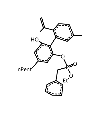 C=C(C)c1ccc(C)cc1-c1c(O)cc(CCCCC)cc1OP(=O)(Cc1ccccc1)OCC